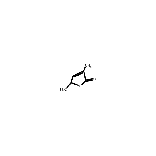 CC1=[C]C(C)OC1=O